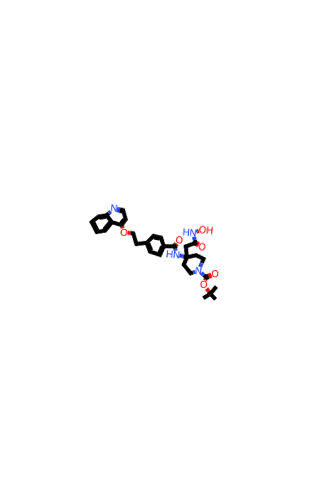 CC(C)(C)OC(=O)N1CCC(CC(=O)NO)(NC(=O)c2ccc(CCOc3ccnc4ccccc34)cc2)CC1